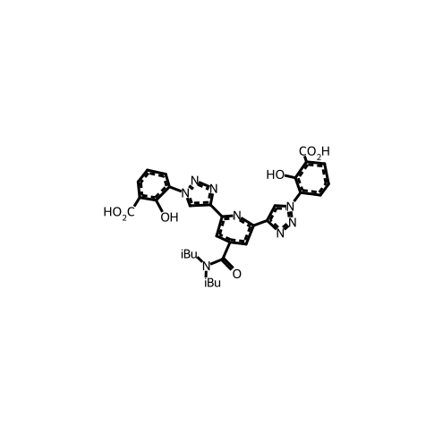 CCC(C)N(C(=O)c1cc(-c2cn(-c3cccc(C(=O)O)c3O)nn2)nc(-c2cn(-c3cccc(C(=O)O)c3O)nn2)c1)C(C)CC